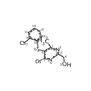 Cc1nc(CO)nc(Cl)c1Sc1ccccc1Cl